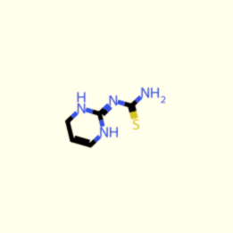 NC(=S)N=C1NC=CCN1